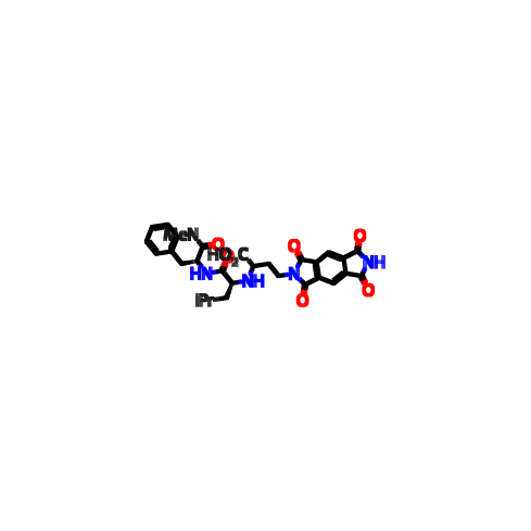 CNC(=O)[C@H](Cc1ccccc1)NC(=O)[C@H](CC(C)C)NC(CCn1c(=O)c2cc3c(=O)[nH]c(=O)c3cc2c1=O)C(=O)O